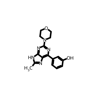 Cc1nc2c(-c3cccc(O)c3)nc(N3CCOCC3)nc2[nH]1